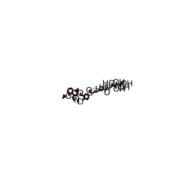 O=C(NCCCCC[S+]([O-])c1ccc(Cl)c(COC2(c3cnccc3-c3ccccc3OC3CC3)CC2)c1)NCC(O)C(O)C(O)C(O)CO